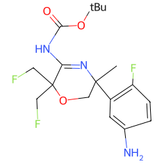 CC(C)(C)OC(=O)NC1=NC(C)(c2cc(N)ccc2F)COC1(CF)CF